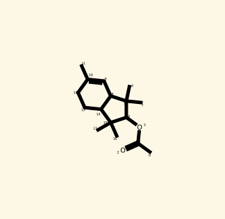 CC(=O)OC1C(C)(C)C2C=C(C)CCC2C1(C)C